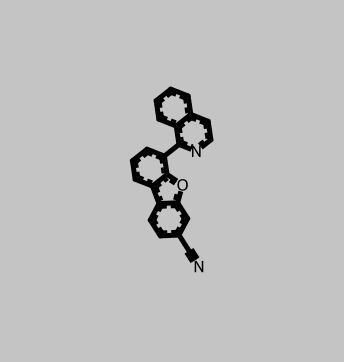 N#Cc1ccc2c(c1)oc1c(-c3nccc4ccccc34)cccc12